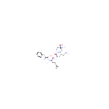 NCCCC[C@@H](NC(=O)C(CCC1CC1)NC(=O)[C@H](N)Cc1ccccc1)C(=O)N1CCC(N)(C(=O)O)CC1